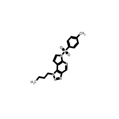 CCCCn1nnc2cnc3c(ccn3S(=O)(=O)c3ccc(C)cc3)c21